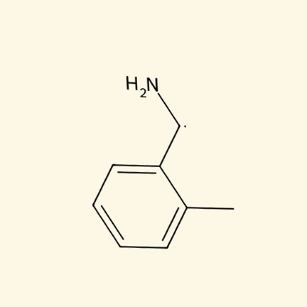 Cc1ccccc1[CH]N